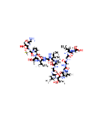 CC[C@H](C)[C@H](NC(=O)CNC(=O)CNC(=O)CNC(=O)[C@H](CC(C)C)NC(=O)[C@@H](NC(=O)[C@H](CC(C)C)NC(=O)CNC(=O)[C@H](C)NC(=O)[C@@H](NC(=O)CNC(=O)[C@@H](NC(=O)[C@@H](NC(=O)[C@@H]1CCCN1C(=O)[C@H](CS)NC(=O)[C@@H](NC(=O)CN)[C@@H](C)O)[C@@H](C)O)C(C)C)[C@@H](C)CC)[C@@H](C)O)C(=O)NCC(=O)O